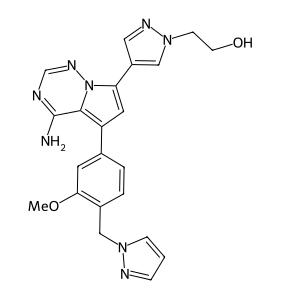 COc1cc(-c2cc(-c3cnn(CCO)c3)n3ncnc(N)c23)ccc1Cn1cccn1